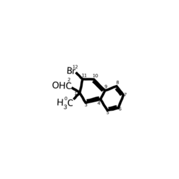 CC1(C=O)C=c2ccccc2=CC1Br